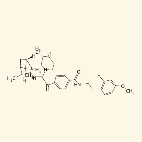 COc1ccc(CCNC(=O)c2ccc(N/C(=N/C3C[C@H]4CC([C@@H]3C)C4(C)C)N3CCN[C@@H](C)C3)cc2)c(F)c1